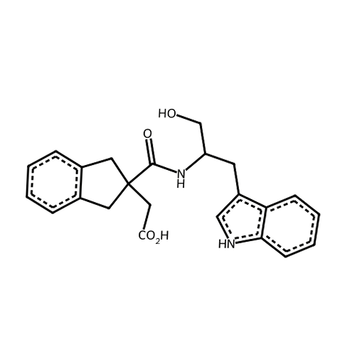 O=C(O)CC1(C(=O)NC(CO)Cc2c[nH]c3ccccc23)Cc2ccccc2C1